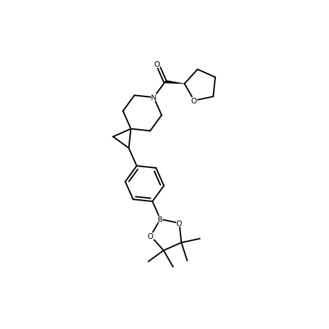 CC1(C)OB(c2ccc(C3CC34CCN(C(=O)[C@H]3CCCO3)CC4)cc2)OC1(C)C